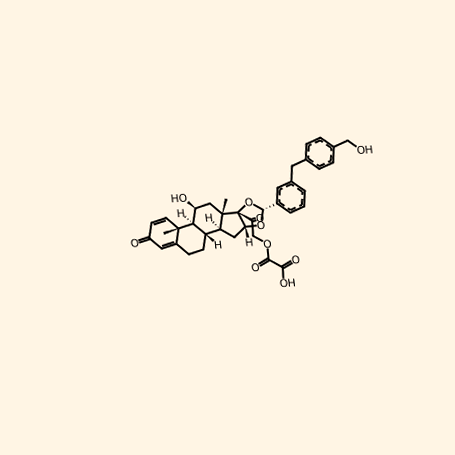 C[C@]12C=CC(=O)C=C1CC[C@@H]1[C@@H]2[C@@H](O)C[C@@]2(C)[C@H]1C[C@H]1O[C@@H](c3cccc(Cc4ccc(CO)cc4)c3)O[C@]12C(=O)COC(=O)C(=O)O